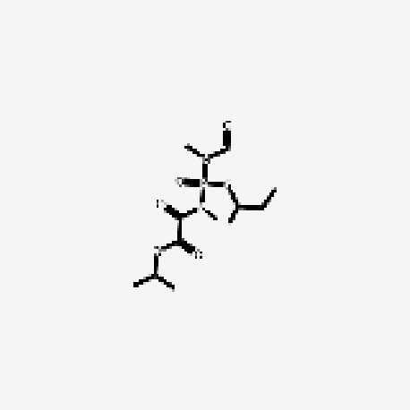 CCC(C)SP(=O)(N(C)C=O)N(C)C(=O)C(=O)OC(C)C